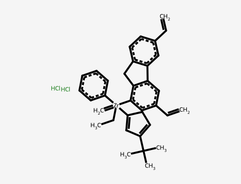 C=Cc1ccc2c(c1)-c1cc(C=C)c[c]([Zr](=[CH2])([CH2]C)([C]3=CC(C(C)(C)C)=CC3)[c]3ccccc3)c1C2.Cl.Cl